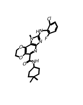 Cn1c(Nc2c(F)cccc2Cl)nc2nc(C(=O)NC3CCC(C)(C)CC3)c3c(c21)OCCO3